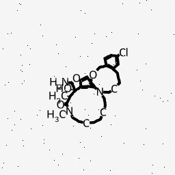 C[C@H]1C(=O)N(C)CCCCCCCCN2CCCCc3cc(Cl)ccc3COc3ccc(cc32)[C@]1(O)C(N)=O